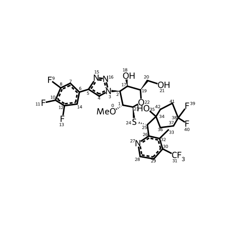 CO[C@@H]1[C@@H](n2cc(-c3cc(F)c(F)c(F)c3)nn2)[C@@H](O)[C@@H](CO)O[C@H]1S[C@@H](c1nccc(C(F)(F)F)c1C)C1(O)CCC(F)(F)CC1